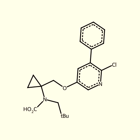 CC(C)(C)CN(C(=O)O)C1(COc2cnc(Cl)c(-c3ccccc3)c2)CC1